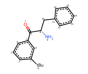 CC(C)(C)c1cc[c]c(C(=O)[C@@H](N)Cc2ccccc2)c1